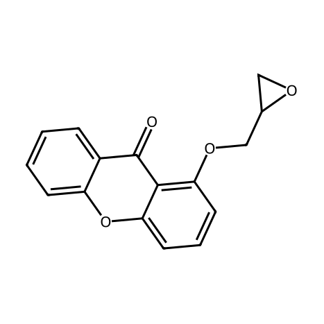 O=c1c2ccccc2oc2cccc(OCC3CO3)c12